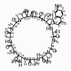 CC[C@@H]1NC(=O)C([C@H](O)[C@H](C)C/C=C(/C)c2ccc(N)cc2)N(C)C(=O)[C@H](C(C)C)N(C)C(=O)[C@H](CC(C)C)N(C)C(=O)[C@H](C)N(C)C(=O)[C@H](C)NC(=O)[C@H](C)NC(=O)[C@H](NC(C)C)N(C)C(=O)[C@H](C(C)C)NC(=O)[C@H](CC(C)C)N(C)C(=O)CN(C)C1=O